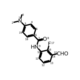 CN(C)c1ccc(C(=O)Nc2cccc(C=O)c2F)cc1